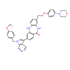 O=C1Nc2cc(CCOc3ccc(N4CCOCC4)cc3)ccc2Nc2cc(-c3cn(Cc4ccc(OC(F)(F)F)cc4)c4cnccc34)ccc21